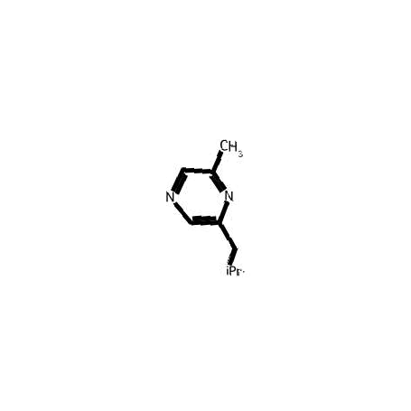 C[C](C)Cc1cncc(C)n1